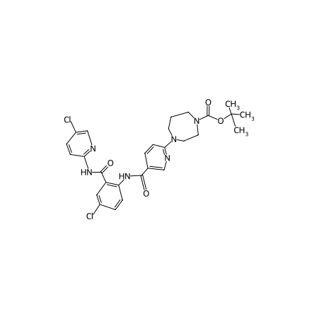 CC(C)(C)OC(=O)N1CCCN(c2ccc(C(=O)Nc3ccc(Cl)cc3C(=O)Nc3ccc(Cl)cn3)cn2)CC1